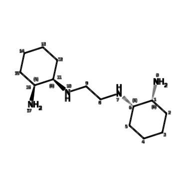 N[C@@H]1CCCC[C@@H]1NCCN[C@@H]1CCCC[C@@H]1N